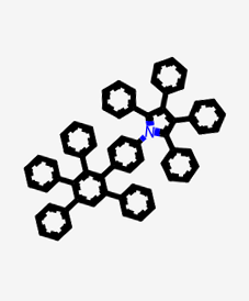 c1ccc(-c2cc(-c3ccccc3)c(-c3ccc(-n4c(-c5ccccc5)c(-c5ccccc5)c(-c5ccccc5)c4-c4ccccc4)cc3)c(-c3ccccc3)c2-c2ccccc2)cc1